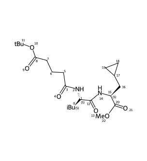 CC[C@H](C)[C@H](NC(=O)CCCC(=O)OC(C)(C)C)C(=O)N[C@@H](CC1CC1)C(=O)OC